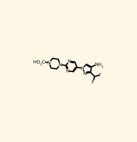 Nc1cn(-c2cnc(N3CCN(C(=O)O)CC3)nc2)nc1C(F)F